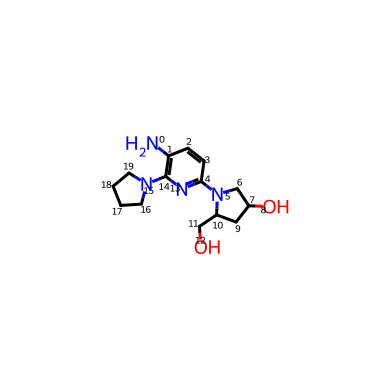 Nc1ccc(N2CC(O)CC2CO)nc1N1CCCC1